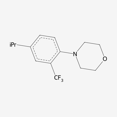 CC(C)c1ccc(N2CCOCC2)c(C(F)(F)F)c1